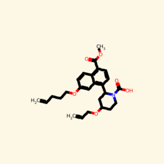 C=CCCCOc1ccc2c(C(=O)OC)ccc(C3CC(OCC=C)CCN3C(=O)O)c2c1